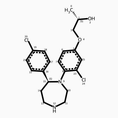 C[C@H](O)COc1ccc(N2CCNCC[C@H]2c2ccc(Cl)cc2)c(Cl)c1